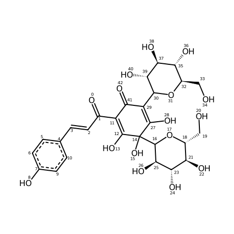 O=C(/C=C/c1ccc(O)cc1)C1=C(O)C(O)(C2O[C@H](CO)[C@@H](O)[C@H](O)[C@H]2O)C(O)=C(C2O[C@H](CO)[C@@H](O)[C@H](O)[C@H]2O)C1=O